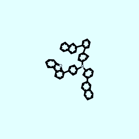 c1cc(-c2ccc3ccccc3c2)cc(N(c2ccc(-c3ccccc3-c3ccc4ccccc4c3)cc2)c2ccc(-c3cccc4c3oc3ccccc34)cc2)c1